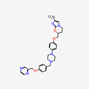 O=[N+]([O-])c1cn2c(n1)OC(COc1ccc(N3CCN(Cc4ccc(OCc5cnccn5)cc4)CC3)cc1)CC2